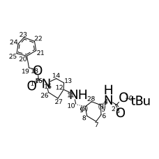 CC(C)(C)OC(=O)N[C@@H]1CCC[C@H](CNC2CCN(C(=O)OCc3ccccc3)CC2)C1